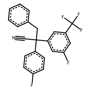 N#CC(Cc1ccccc1)(c1ccc(F)cc1)c1cc(F)cc(C(F)(F)F)c1